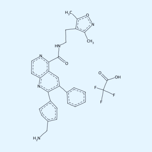 Cc1noc(C)c1CCNC(=O)c1nccc2nc(-c3ccc(CN)cc3)c(-c3ccccc3)cc12.O=C(O)C(F)(F)F